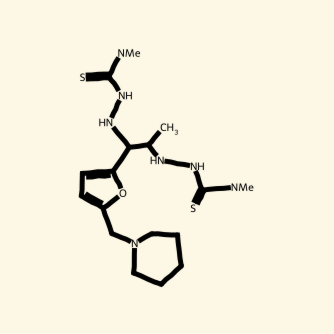 CNC(=S)NNC(C)C(NNC(=S)NC)c1ccc(CN2CCCCC2)o1